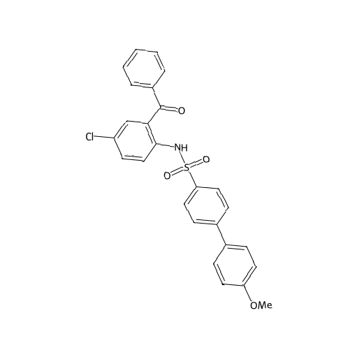 COc1ccc(-c2ccc(S(=O)(=O)Nc3ccc(Cl)cc3C(=O)c3ccccc3)cc2)cc1